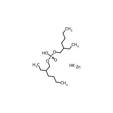 CCCCC(CC)COP(=O)(O)OCC(CC)CCCC.[KH].[Zn]